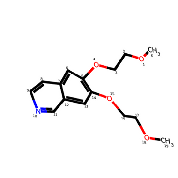 COCCOc1cc2c[c]ncc2cc1OCCOC